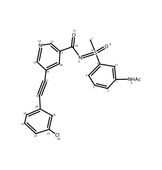 CC(=O)Nc1cccc(S(C)(=O)=NC(=O)c2cncc(C#Cc3cccc(Cl)c3)c2)c1